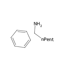 CCCCCCN.c1ccccc1